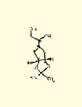 C[C@H](CO)[C@@H]1C[C@H]2OC(C)(C)O[C@H]2O1